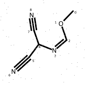 CO/C=N\C(C#N)C#N